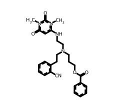 Cn1c(NCCN(CCCOC(=O)c2ccccc2)CCc2ccccc2C#N)cc(=O)n(C)c1=O